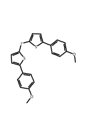 COc1ccc(-c2ccc([I+]c3ccc(-c4ccc(OC)cc4)s3)s2)cc1